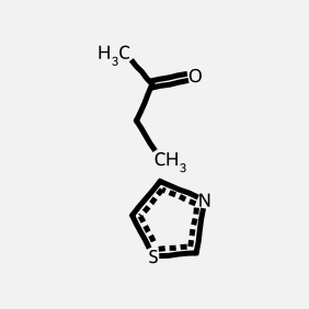 CCC(C)=O.c1cscn1